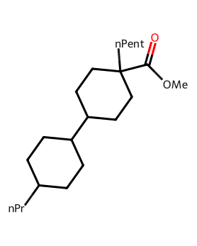 CCCCCC1(C(=O)OC)CCC(C2CCC(CCC)CC2)CC1